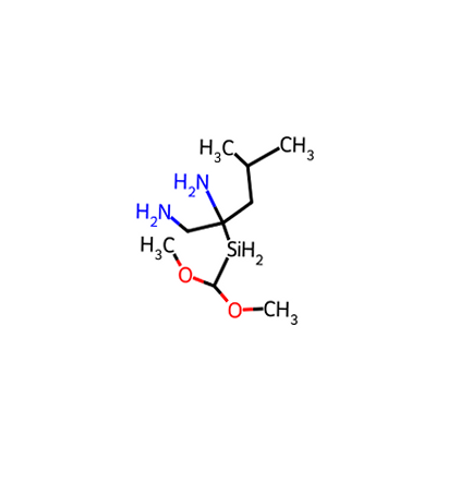 COC(OC)[SiH2]C(N)(CN)CC(C)C